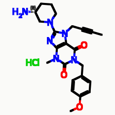 CC#CCn1c(N2CCC[C@@H](N)C2)nc2c1c(=O)n(Cc1ccc(OC)cc1)c(=O)n2C.Cl